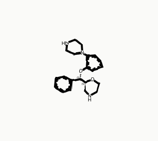 c1ccc([C@H](Oc2ccccc2N2CCNCC2)[C@@H]2CNCCO2)cc1